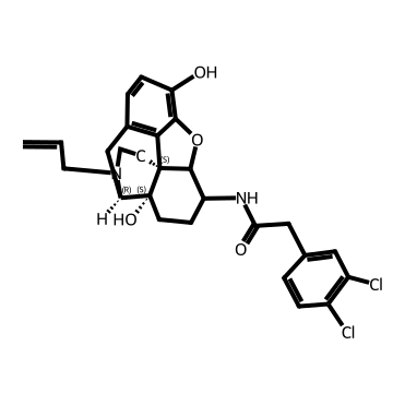 C=CCN1CC[C@]23c4c5ccc(O)c4OC2C(NC(=O)Cc2ccc(Cl)c(Cl)c2)CC[C@@]3(O)[C@H]1C5